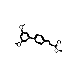 COC(=O)CCc1ccc(-c2cc(OC)cc(OC)c2)cc1